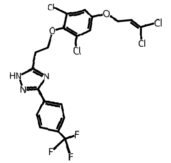 FC(F)(F)c1ccc(-c2n[nH]c(CCOc3c(Cl)cc(OCC=C(Cl)Cl)cc3Cl)n2)cc1